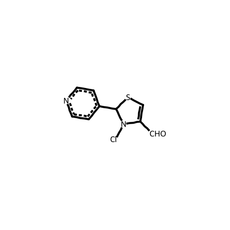 O=CC1=CSC(c2ccncc2)N1Cl